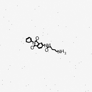 NCCCCC(=O)Nc1ccc2c(c1)C(=O)N(C1=CC=CCC1)C2=O